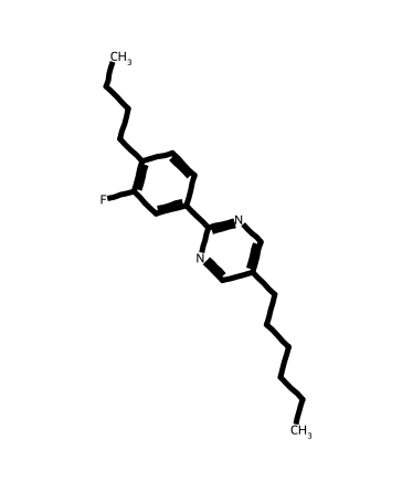 CCCCCCc1cnc(-c2ccc(CCCC)c(F)c2)nc1